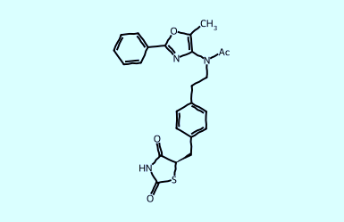 CC(=O)N(CCc1ccc(C[C@H]2SC(=O)NC2=O)cc1)c1nc(-c2ccccc2)oc1C